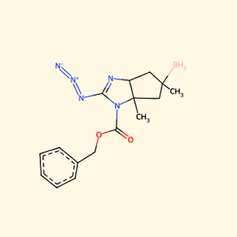 BC1(C)CC2N=C(N=[N+]=[N-])N(C(=O)OCc3ccccc3)C2(C)C1